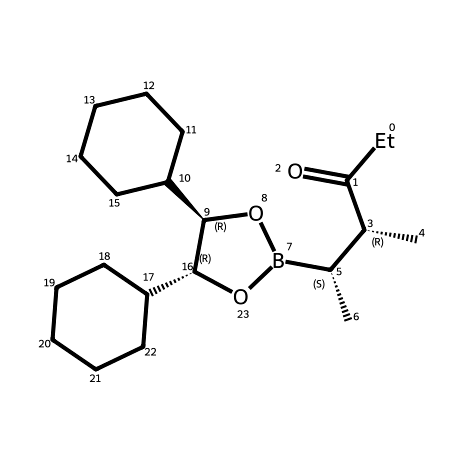 CCC(=O)[C@H](C)[C@H](C)B1O[C@H](C2CCCCC2)[C@@H](C2CCCCC2)O1